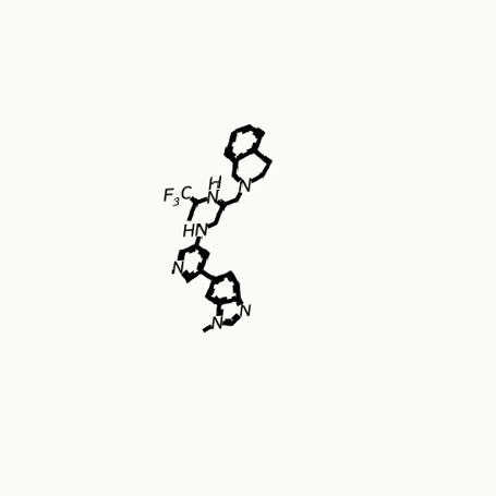 CC(NC(CNc1cncc(-c2ccc3ncn(C)c3c2)c1)CN1CCc2ccccc2C1)C(F)(F)F